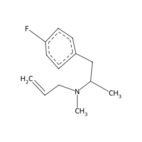 C=CCN(C)C(C)Cc1ccc(F)cc1